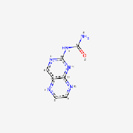 NC(=O)Nc1ncc2nccnc2n1